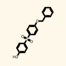 O=S(=O)(c1ccc(O)cc1)c1ccc(OCc2ccccc2)cc1